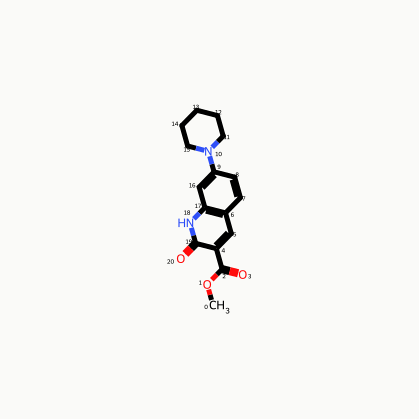 COC(=O)c1cc2ccc(N3CCCCC3)cc2[nH]c1=O